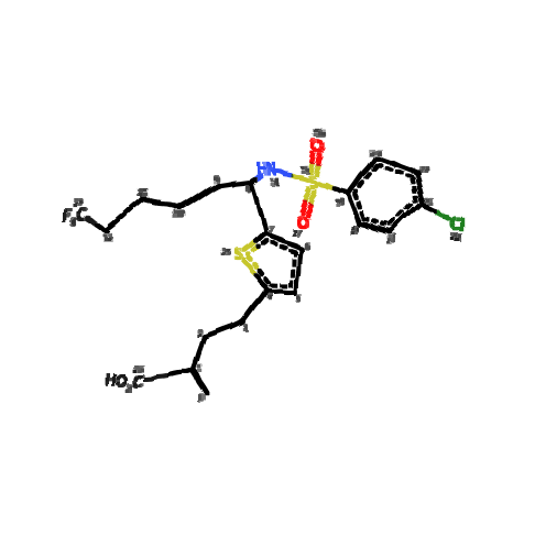 CC(CCc1ccc(C(CCCCC(F)(F)F)NS(=O)(=O)c2ccc(Cl)cc2)s1)C(=O)O